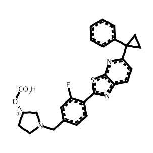 O=C(O)O[C@H]1CCN(Cc2ccc(-c3nc4ccc(C5(c6ccccc6)CC5)nc4s3)c(F)c2)C1